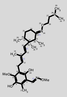 CO/N=C/c1c(C)c(O)c(OC)c(C/C=C(C)/C=C/[C@@]2(C)[C@H](C)CC/C(=N\OCCN(C)C)[C@@H]2C)c1O